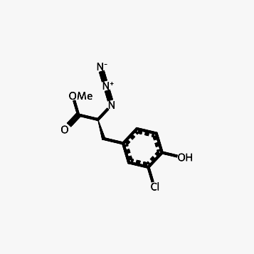 COC(=O)[C@H](Cc1ccc(O)c(Cl)c1)N=[N+]=[N-]